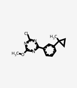 COc1nc(Cl)nc(-c2cccc(C3(C)CC3)c2)n1